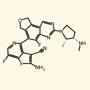 CN[C@H]1CCN(c2ncc3c4c(c(-c5ncc(F)c6sc(N)c(C#N)c56)c(F)c3n2)COC4)[C@H]1C